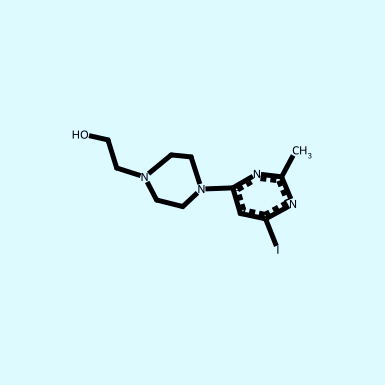 Cc1nc(I)cc(N2CCN(CCO)CC2)n1